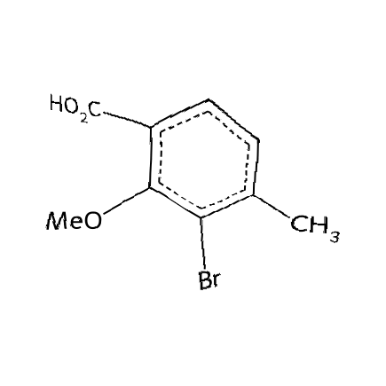 COc1c(C(=O)O)ccc(C)c1Br